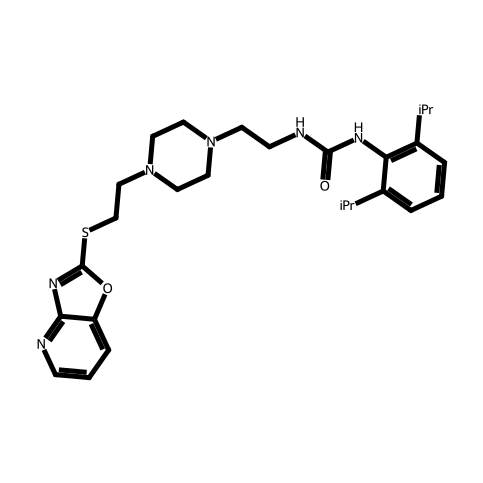 CC(C)c1cccc(C(C)C)c1NC(=O)NCCN1CCN(CCSc2nc3ncccc3o2)CC1